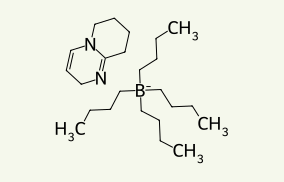 C1=CN2CCCCC2=NC1.CCCC[B-](CCCC)(CCCC)CCCC